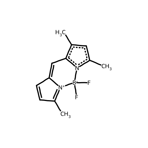 CC1=[N+]2C(=Cc3c(C)cc(C)n3[B-]2(F)F)C=C1